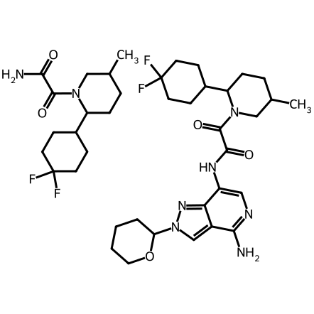 CC1CCC(C2CCC(F)(F)CC2)N(C(=O)C(=O)Nc2cnc(N)c3cn(C4CCCCO4)nc23)C1.CC1CCC(C2CCC(F)(F)CC2)N(C(=O)C(N)=O)C1